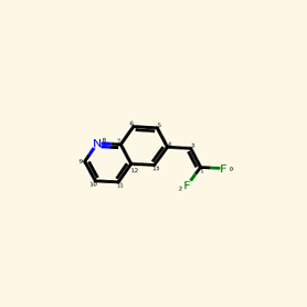 FC(F)=Cc1ccc2n[c]ccc2c1